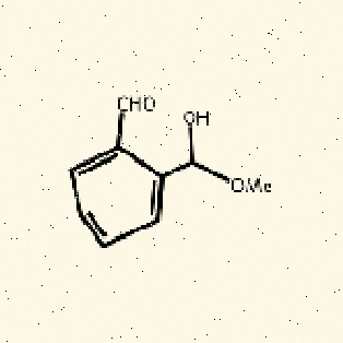 COC(O)c1ccccc1C=O